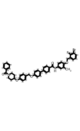 Cc1cc(NC(=O)c2ccc(-c3ccc(OCc4ccc(OC5CCN(C(=O)c6ccccc6)CC5)cc4)cc3)cc2)ccc1OCc1cccc(Br)c1F